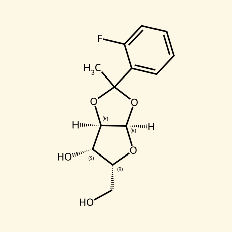 CC1(c2ccccc2F)O[C@H]2O[C@H](CO)[C@H](O)[C@H]2O1